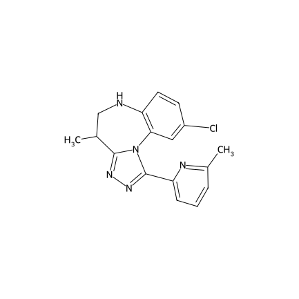 Cc1cccc(-c2nnc3n2-c2cc(Cl)ccc2NCC3C)n1